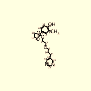 Cc1cc(C2(OCCOCCCc3cncnc3)OCCO2)ccc1O